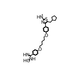 CNc1nc(-c2ccc(OCCCCCOc3ccc(C(=N)NO)cc3)cc2)c(CC2CCCC2)s1